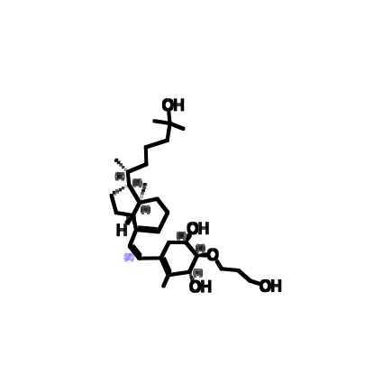 CC1=C(/C=C\C2=CCC[C@]3(C)[C@@H]([C@H](C)CCCC(C)(C)O)CC[C@@H]23)C[C@@H](O)[C@@H](OCCCO)[C@@H]1O